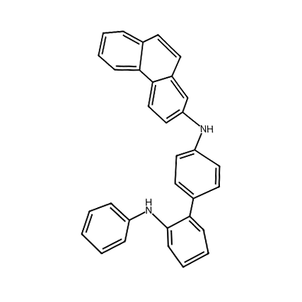 c1ccc(Nc2ccccc2-c2ccc(Nc3ccc4c(ccc5ccccc54)c3)cc2)cc1